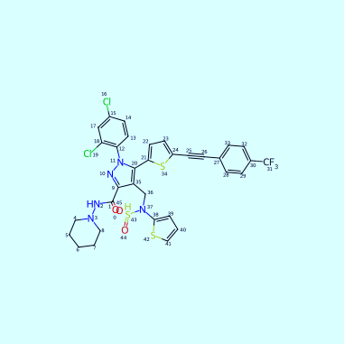 O=C(NN1CCCCC1)c1nn(-c2ccc(Cl)cc2Cl)c(-c2ccc(C#Cc3ccc(C(F)(F)F)cc3)s2)c1CN(c1cccs1)[SH](=O)=O